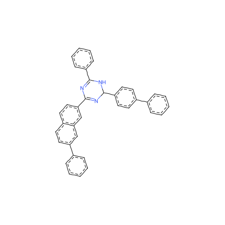 c1ccc(C2=NC(c3ccc4ccc(-c5ccccc5)cc4c3)=NC(c3ccc(-c4ccccc4)cc3)N2)cc1